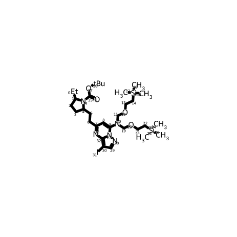 CCC1CCC(CCc2cc(N(COCC[Si](C)(C)C)COCC[Si](C)(C)C)n3ncc(I)c3n2)N1C(=O)OC(C)(C)C